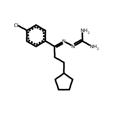 NC(N)=NN=C(CCC1CCCC1)c1ccc(Cl)cc1